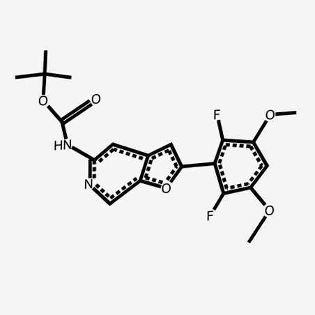 COc1cc(OC)c(F)c(-c2cc3cc(NC(=O)OC(C)(C)C)ncc3o2)c1F